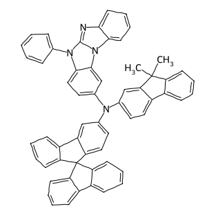 CC1(C)c2ccccc2-c2ccc(N(c3ccc4c(c3)-c3ccccc3C43c4ccccc4-c4ccccc43)c3ccc4c(c3)n3c5ccccc5nc3n4-c3ccccc3)cc21